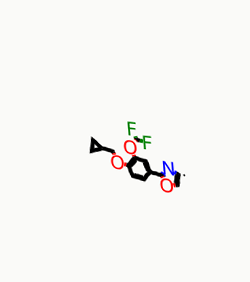 FC(F)Oc1cc(-c2n[c]co2)ccc1OCC1CC1